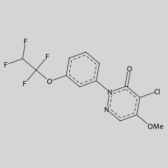 COc1cnn(-c2cccc(OC(F)(F)C(F)F)c2)c(=O)c1Cl